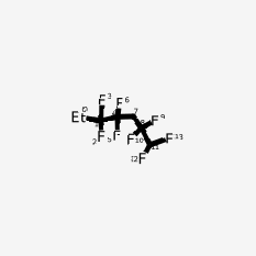 CCC(F)(F)C(F)(F)CC(F)(F)C(F)F